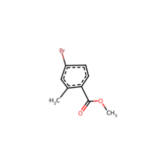 [CH2]c1cc(Br)ccc1C(=O)OC